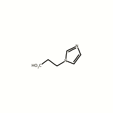 O=C(O)CCn1ccnc1